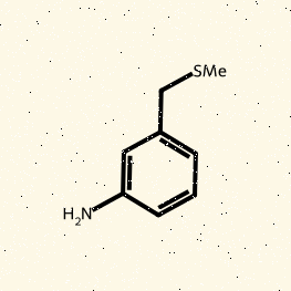 CSCc1cccc(N)c1